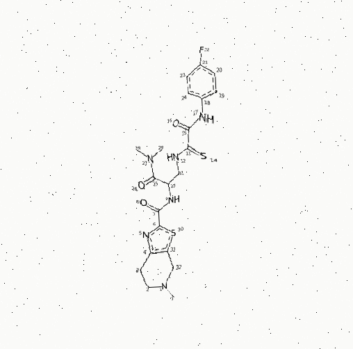 CN1CCc2nc(C(=O)NC(CNC(=S)C(=O)Nc3ccc(F)cc3)C(=O)N(C)C)sc2C1